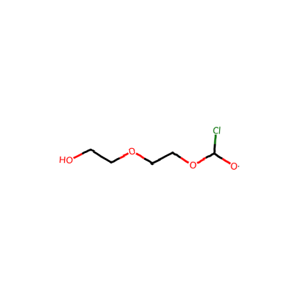 [O]C(Cl)OCCOCCO